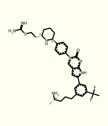 C[C@H](N)CCCc1cc(-c2cc3cn(-c4ccc([C@@H]5CCC[C@@H](CCSC(=N)N)N5)cc4)c(=O)nc3[nH]2)cc(C(C)(F)F)c1